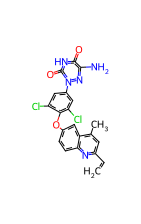 C=Cc1cc(C)c2cc(Oc3c(Cl)cc(-n4nc(N)c(=O)[nH]c4=O)cc3Cl)ccc2n1